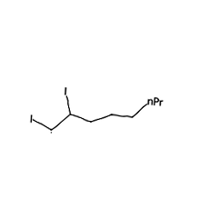 CCCCCCC(I)[CH]I